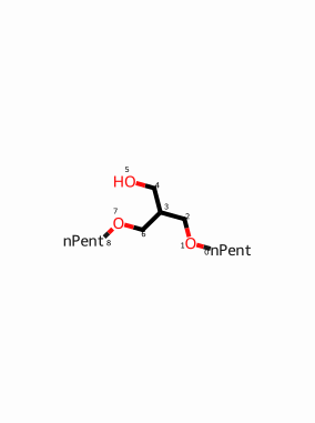 CCCCCOCC(CO)COCCCCC